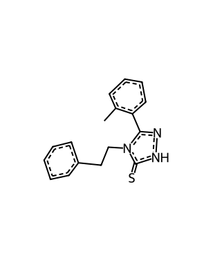 Cc1ccccc1-c1n[nH]c(=S)n1CCc1ccccc1